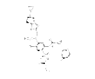 Cc1ccnc([C@H]2C[C@@H]2C(=O)Nc2cc(N(Cc3cn4cc(C5CC5)ccc4n3)C(=O)O)c(Cl)cc2S(=O)(=O)NC(=O)OC(C)(C)C)n1